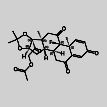 CC(=O)OCC(=O)[C@@]12OC(C)(C)O[C@@H]1C[C@H]1[C@@H]3CC(=O)C4=CC(=O)C=C[C@]4(C)[C@@]3(F)C(=O)C[C@@]12C